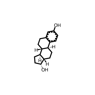 Oc1ccc2c(c1)CC[C@H]1[C@@H]3CC[C@@H](O)[C@H]3CC[C@H]21